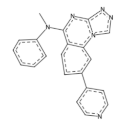 CN(c1ccccc1)c1nc2nncn2c2cc(-c3ccncc3)ccc12